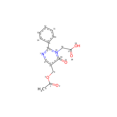 CC(=O)OCc1cnc(-c2ccccc2)n(CC(=O)O)c1=O